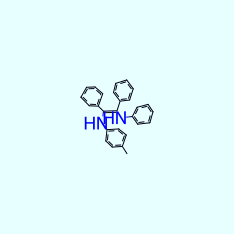 Cc1ccc(NC(=C(Nc2ccccc2)c2ccccc2)c2ccccc2)cc1